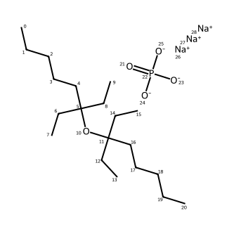 CCCCCC(CC)(CC)OC(CC)(CC)CCCCC.O=P([O-])([O-])[O-].[Na+].[Na+].[Na+]